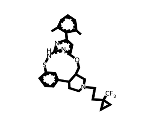 Cc1cccc(C)c1-c1cc2nc(n1)NSc1cccc(c1)C1CCN(CCC3(C(F)(F)F)CC3)CC1CO2